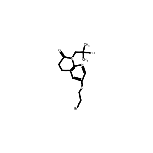 CC(C)(O)CN1C(=O)CCc2cc(OCCBr)cnc21